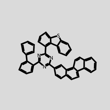 c1ccc(-c2ccccc2-c2nc(-c3ccc4ccc5c6ccccc6ccc5c4c3)nc(-c3cccc4sc5ccccc5c34)n2)cc1